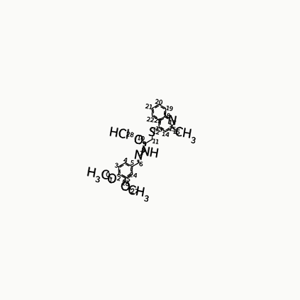 COc1ccc(C=NNC(=O)CSc2cc(C)nc3ccccc23)cc1OC.Cl